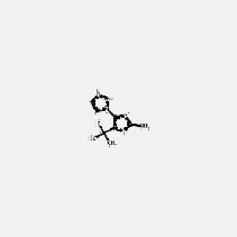 CC(C)(C)c1nc(N)sc1-n1ccnn1